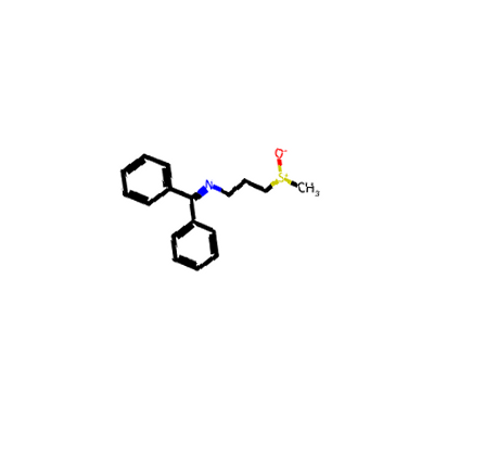 C[S+]([O-])CCCN=C(c1ccccc1)c1ccccc1